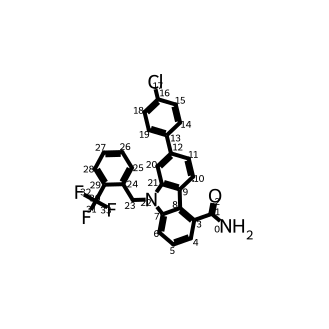 NC(=O)c1cccc2c1c1[c]cc(-c3ccc(Cl)cc3)cc1n2Cc1ccccc1C(F)(F)F